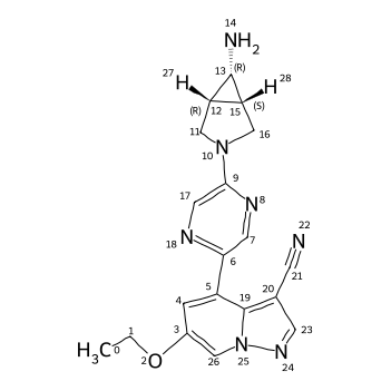 CCOc1cc(-c2cnc(N3C[C@@H]4[C@H](N)[C@@H]4C3)cn2)c2c(C#N)cnn2c1